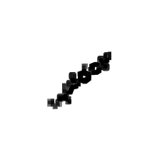 COC(=S)NCC1CN(c2ccc(N3CCN(S(=O)(=O)CCl)CC3)c(F)c2)C(=O)O1